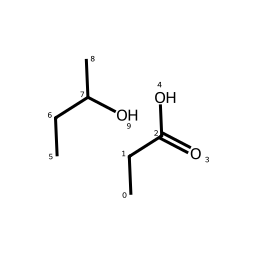 CCC(=O)O.CCC(C)O